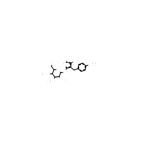 CSc1ccc(Cc2c(OC3OC(CO)C(O)C(O)C3O)n[nH]c2C(F)(F)F)cc1